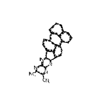 N#Cc1nc2nc3c(nc2nc1C#N)-c1ccc2c4cccc5cccc(c6ccc-3c1c62)c54